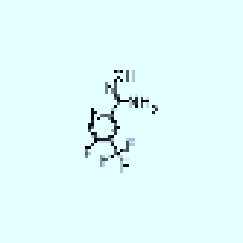 NC(=NO)c1cc(C(F)(F)F)c(F)cn1